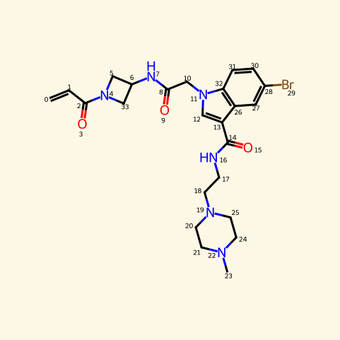 C=CC(=O)N1CC(NC(=O)Cn2cc(C(=O)NCCN3CCN(C)CC3)c3cc(Br)ccc32)C1